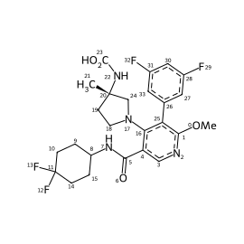 COc1ncc(C(=O)NC2CCC(F)(F)CC2)c(N2CC[C@](C)(NC(=O)O)C2)c1-c1cc(F)cc(F)c1